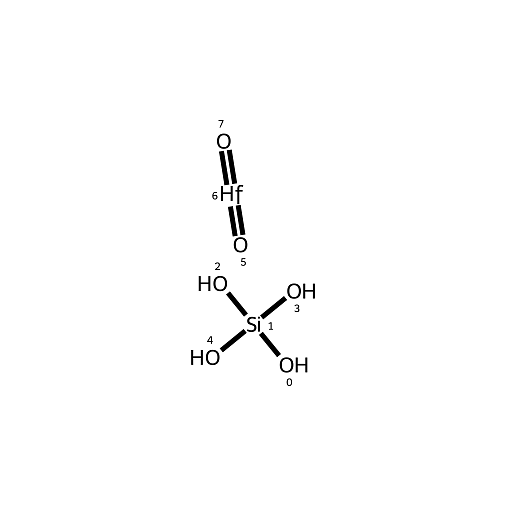 O[Si](O)(O)O.[O]=[Hf]=[O]